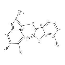 Cc1nc2cc(F)c(Br)cn2c1Cn1c(=O)oc2c(F)cccc21